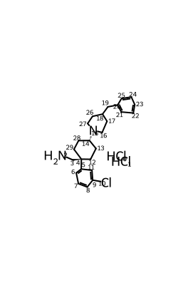 Cl.Cl.NC[C@]1(c2cccc(Cl)c2)CC[C@@H](N2CCC(Cc3ccccc3)CC2)CC1